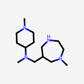 CN1CCC(N(C)CC2CNCCN(C)C2)CC1